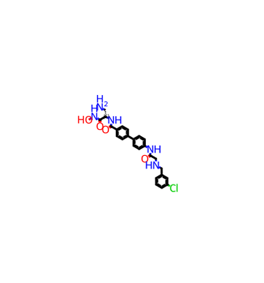 NC[C@H](NC(=O)c1ccc(-c2ccc(NC(=O)CNCc3cccc(Cl)c3)cc2)cc1)C(=O)NO